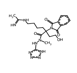 CC(=N)NCCCCC(CCO)(C(=O)N(C)Nc1nnn[nH]1)N1C(=O)c2ccccc2C1=O